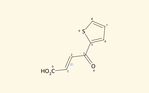 O=C(O)/C=C/C(=O)c1cccs1